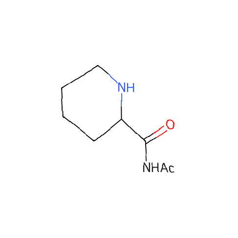 CC(=O)NC(=O)C1CCCCN1